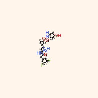 O=C(Cc1cc(F)cc(F)c1)Nc1cc([C@@H]2CC[C@H](OC(=O)N[C@H]3CC[C@@H](O)CC3)C2)[nH]n1